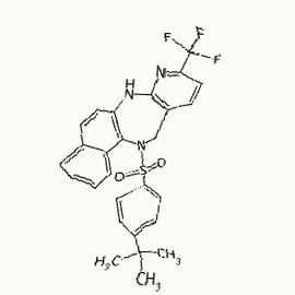 CC(C)(C)c1ccc(S(=O)(=O)N2Cc3ccc(C(F)(F)F)nc3Nc3ccc4ccccc4c32)cc1